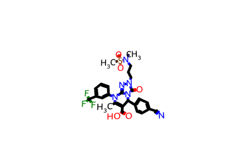 CC1=C(C(=O)O)C(c2ccc(C#N)cc2)n2c(nn(CCCN(C)S(C)(=O)=O)c2=O)N1c1cccc(C(F)(F)F)c1